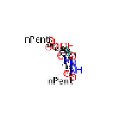 CCCCCOC(=O)Nc1ccn([C@@H]2O[C@H](COC(=O)OCCCCC)[C@@H](O)C2(F)F)c(=O)n1